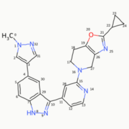 Cn1cc(-c2ccc3[nH]nc(-c4ccnc(N5CCc6oc(C7CC7)nc6C5)c4)c3c2)cn1